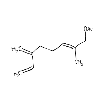 C=CC(=C)CCC=C(C)COC(C)=O